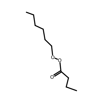 CCCCCCOOC(=O)CCC